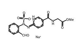 COC(=O)CNC(=O)c1ccc(=NN(c2ccccc2C=O)S(=O)(=O)[O-])[nH]c1.[Na+]